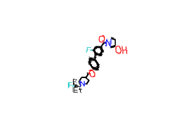 CCC(F)(CC)CN1CCC(COc2ccc(-c3ccc(C(=O)N4CC[C@@H](O)C4)cc3F)cc2)CC1